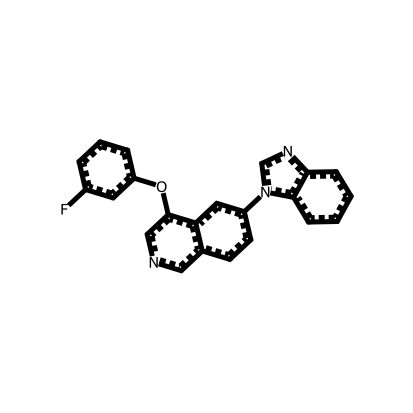 Fc1cccc(Oc2cncc3ccc(-n4cnc5ccccc54)cc23)c1